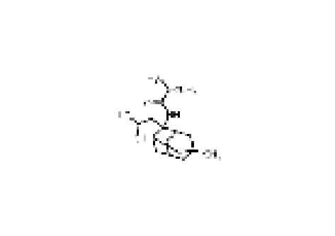 C=C(C)C(=O)NC1(CC(C)C)C2CC3CC1CC(C)(C3)C2